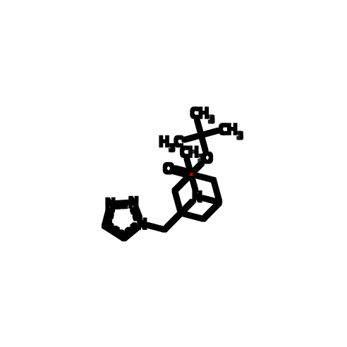 CC1CC2CC(Cn3ccnn3)(C1)N2C(=O)OC(C)(C)C